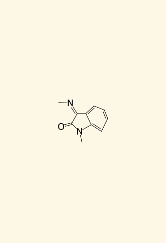 C/N=C1\C(=O)N(C)c2ccccc21